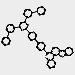 c1ccc(-c2cccc(-c3cc(-c4cccc(-c5ccccc5)c4)nc(-c4ccc(-c5ccc(-c6nc7ccccc7c7c6ccc6c8ccccc8sc67)cc5)cc4)n3)c2)cc1